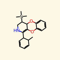 CC1C=CC=CC1C1=C2Oc3ccccc3OC2C([Si](C)(C)C)CN1